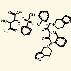 O=C(O)C(O)C(O)C(=O)O.O=C(OC(=O)[C@H](c1ccccc1Cl)N1CCc2sccc2C1)[C@H](c1ccccc1Cl)N1CCc2sccc2C1.O=S(=O)(O)c1ccccc1